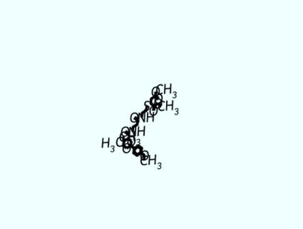 COC(=O)CC(SCCNC(=O)CCNC(=O)[C@@H]1OC(c2ccc(OC)cc2)OCC1(C)C)C(=O)OC